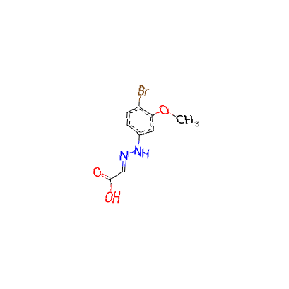 COc1cc(N/N=C/C(=O)O)ccc1Br